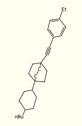 CCCCC1CCC(C23CCC(C#Cc4ccc(CC)cc4)(CC2)CC3)CC1